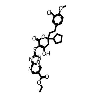 CCOC(=O)c1cnc2nc(SC3=C(O)CC(CCc4ccc(OC)c(Cl)c4)(C4CCCC4)OC3=O)nn2c1